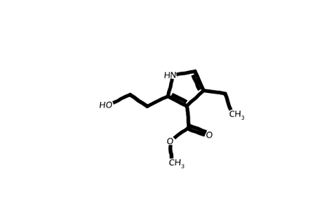 CCc1c[nH]c(CCO)c1C(=O)OC